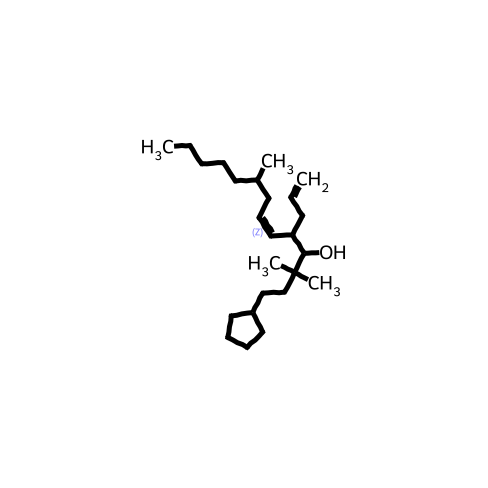 C=CCC(/C=C\CC(C)CCCCC)C(O)C(C)(C)CCC1CCCC1